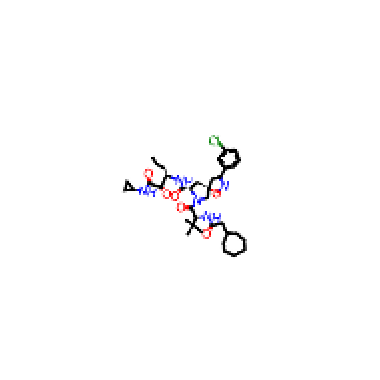 CCC[C@H](NC(=O)[C@@H]1C[C@]2(CC(c3cccc(Cl)c3)=NO2)CN1C(=O)[C@@H](NC(=O)CC1CCCCCC1)C(C)(C)C)C(=O)C(=O)NC1CC1